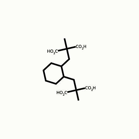 CC(CC1CCCCC1CC(C)(C(=O)O)C(=O)O)(C(=O)O)C(=O)O